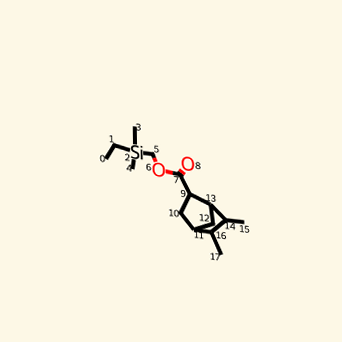 CC[Si](C)(C)COC(=O)C1CC2CC1C(C)C2C